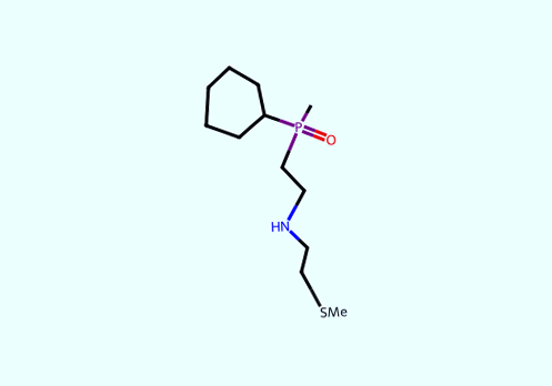 CSCCNCCP(C)(=O)C1CCCCC1